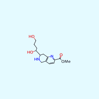 COC(=O)c1ccc2c(n1)CC(C(O)CCCO)NC2